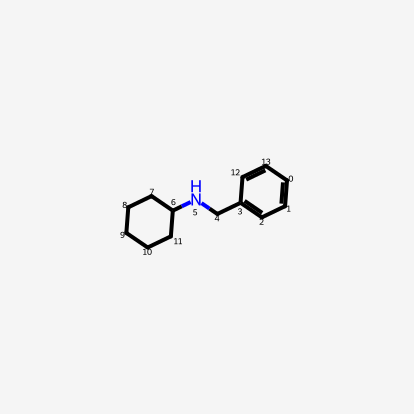 c1ccc(CNC2CCCCC2)cc1